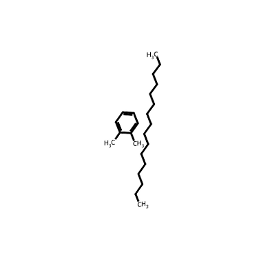 CCCCCCCCCCCCCCCC.Cc1ccccc1C